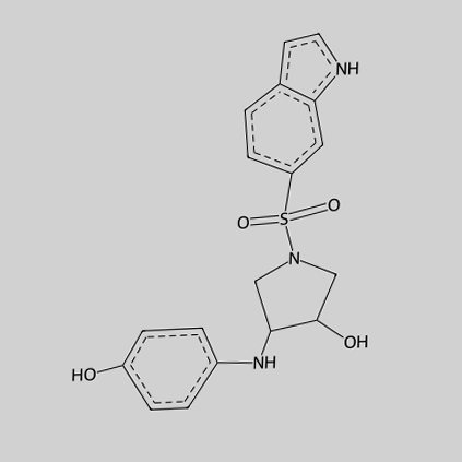 O=S(=O)(c1ccc2cc[nH]c2c1)N1CC(O)C(Nc2ccc(O)cc2)C1